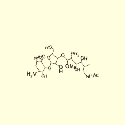 COC(OC1C(CO)OC(OC2C(O)C(N)CC(N)C2O)C1O)C(N)C(O)C(O)C(C)CNC(C)=O